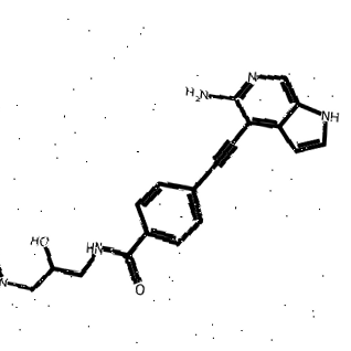 CCN(CC)CC(O)CNC(=O)c1ccc(C#Cc2c(N)ncc3[nH]ccc23)cc1